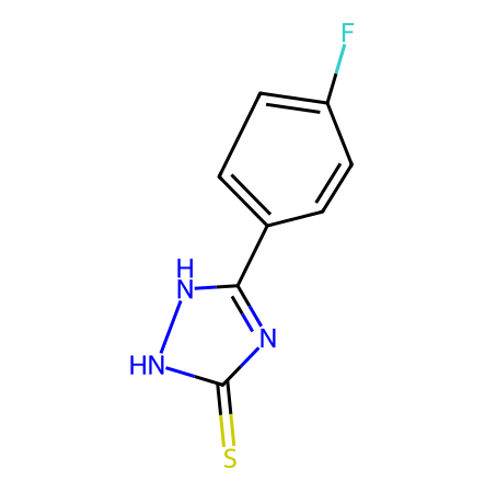 Fc1ccc(-c2nc(=S)[nH][nH]2)cc1